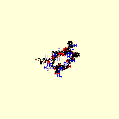 CC(C)C[C@H](NC(=O)CNC(=O)[C@H](CCCNC(=N)N)NC(=O)CNC(=O)[C@H](CC(C)C)NC(=O)CNC(=O)[C@H](CO)NC(=O)[C@H](Cc1c[nH]c2ccccc12)NC(=O)CNC(=O)[C@H](Cc1ccccc1)NC(=O)CNC(=O)CNC(=O)[C@H](CC(C)C)NC(=O)CNC(=O)[C@H](CC(C)C)NC(=O)[C@@H](N)CO)C(=O)O